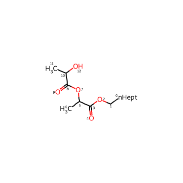 CCCCCCCCOC(=O)C(C)OC(=O)C(C)O